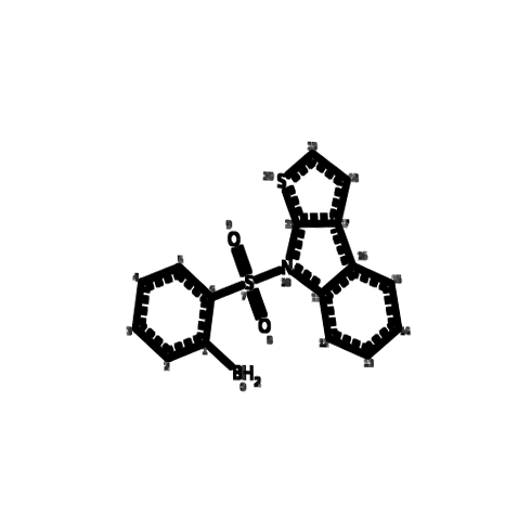 Bc1ccccc1S(=O)(=O)n1c2ccccc2c2ccsc21